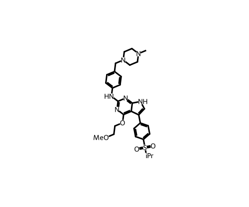 COCCOc1nc(Nc2ccc(CN3CCN(C)CC3)cc2)nc2[nH]cc(-c3ccc(S(=O)(=O)C(C)C)cc3)c12